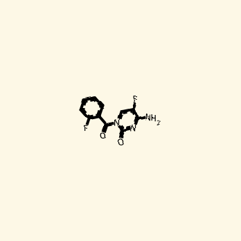 Nc1nc(=O)n(C(=O)c2ccccc2F)cc1F